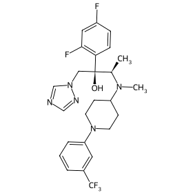 C[C@@H](N(C)C1CCN(c2cccc(C(F)(F)F)c2)CC1)[C@](O)(Cn1cncn1)c1ccc(F)cc1F